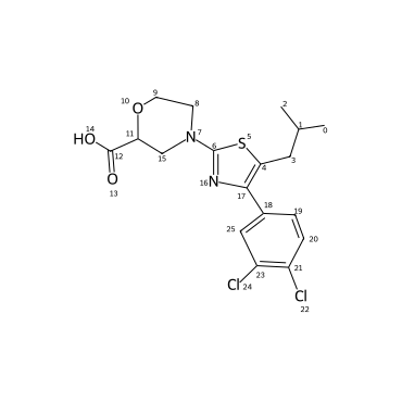 CC(C)Cc1sc(N2CCOC(C(=O)O)C2)nc1-c1ccc(Cl)c(Cl)c1